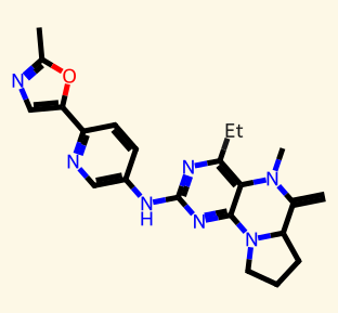 C=C1C2CCCN2c2nc(Nc3ccc(-c4cnc(C)o4)nc3)nc(CC)c2N1C